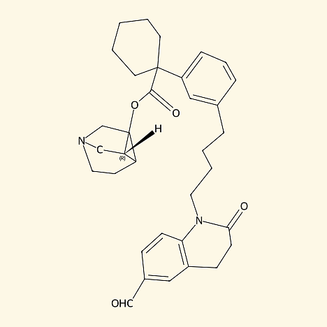 O=Cc1ccc2c(c1)CCC(=O)N2CCCCc1cccc(C2(C(=O)O[C@H]3CN4CCC3CC4)CCCCC2)c1